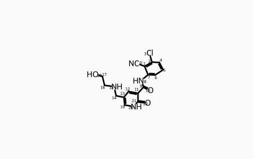 N#Cc1c(Cl)cccc1NC(=O)c1cc(CNCCO)c[nH]c1=O